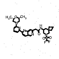 C[C@@H]1CN(c2cccc(-c3ccc4cnc(CC(=O)NC5CN(S(=O)(=O)C(F)F)CC6(CCC6)C5)cc4n3)n2)C[C@H](C)O1